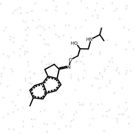 Cc1ccc2c3c(ccc2c1)/C(=N/OCC(O)CNC(C)C)CC3